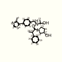 Cc1ncsc1-c1ccc(CNC(C)(O)[C@@H]2C[C@@H](O)CN2C(=O)C(C)c2ccccc2)cc1